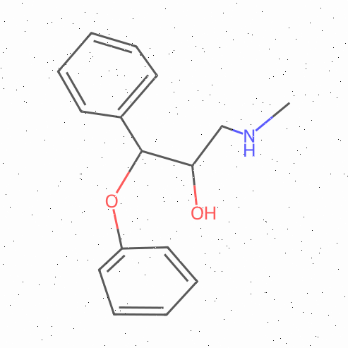 CNCC(O)C(Oc1ccccc1)c1ccccc1